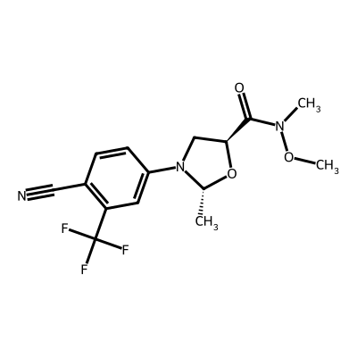 CON(C)C(=O)[C@@H]1CN(c2ccc(C#N)c(C(F)(F)F)c2)[C@@H](C)O1